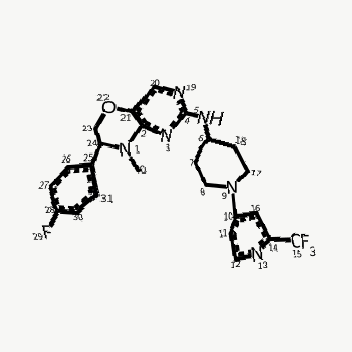 CN1c2nc(NC3CCN(c4ccnc(C(F)(F)F)c4)CC3)ncc2OCC1c1ccc(F)cc1